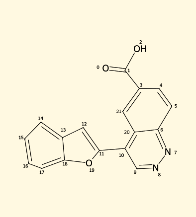 O=C(O)c1ccc2nncc(-c3cc4ccccc4o3)c2c1